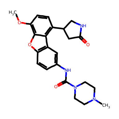 COc1ccc(C2CNC(=O)C2)c2c1oc1ccc(NC(=O)N3CCN(C)CC3)cc12